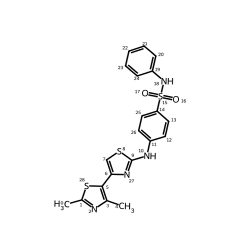 Cc1nc(C)c(-c2csc(Nc3ccc(S(=O)(=O)Nc4ccccc4)cc3)n2)s1